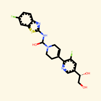 OC[C@@H](O)c1cnc(C2=CCN(C(O)Nc3nc4ccc(F)cc4s3)CC2)c(F)c1